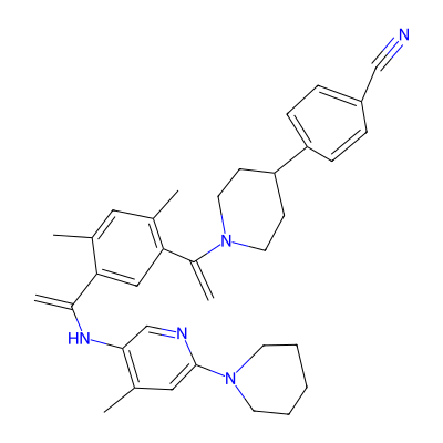 C=C(Nc1cnc(N2CCCCC2)cc1C)c1cc(C(=C)N2CCC(c3ccc(C#N)cc3)CC2)c(C)cc1C